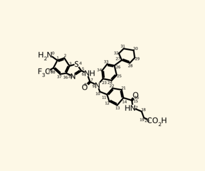 Nc1cc2sc(NC(=O)N(Cc3ccc(C(=O)NCCC(=O)O)cc3)c3ccc(C4=CCCCC4)cc3)nc2cc1C(F)(F)F